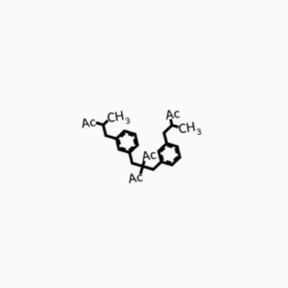 CC(=O)C(C)Cc1cccc(CC(Cc2cccc(CC(C)C(C)=O)c2)(C(C)=O)C(C)=O)c1